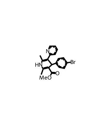 COC(=O)C1=C(C)NC(C)=C(c2ccccn2)C1c1ccc(Br)cc1